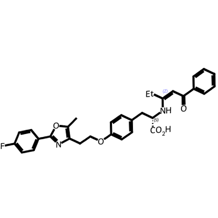 CC/C(=C/C(=O)c1ccccc1)N[C@@H](Cc1ccc(OCCc2nc(-c3ccc(F)cc3)oc2C)cc1)C(=O)O